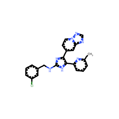 Cc1cccc(-c2[nH]c(NCc3cccc(Cl)c3)nc2-c2ccn3ncnc3c2)n1